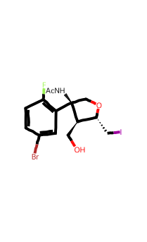 CC(=O)N[C@@]1(c2cc(Br)ccc2F)CO[C@H](CI)[C@H]1CO